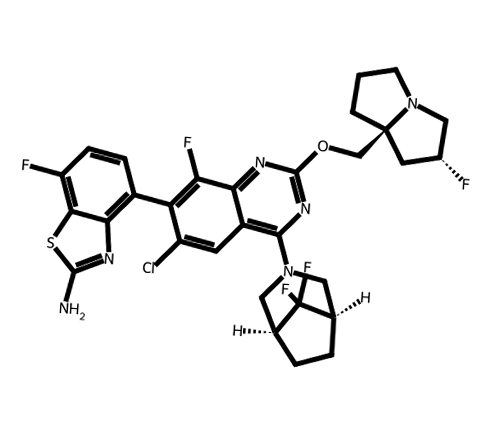 Nc1nc2c(-c3c(Cl)cc4c(N5C[C@H]6CC[C@@H](C5)C6(F)F)nc(OC[C@@]56CCCN5C[C@H](F)C6)nc4c3F)ccc(F)c2s1